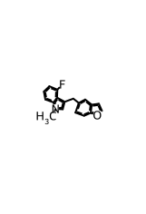 Cn1cc(Cc2ccc3occc3c2)c2c(F)cccc21